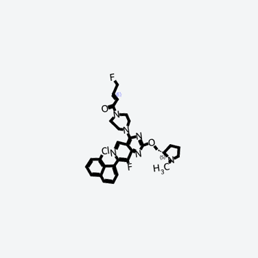 CN1CCC[C@H]1COc1nc(N2CCN(C(=O)/C=C/CF)CC2)c2cnc(-c3cccc4cccc(Cl)c34)c(F)c2n1